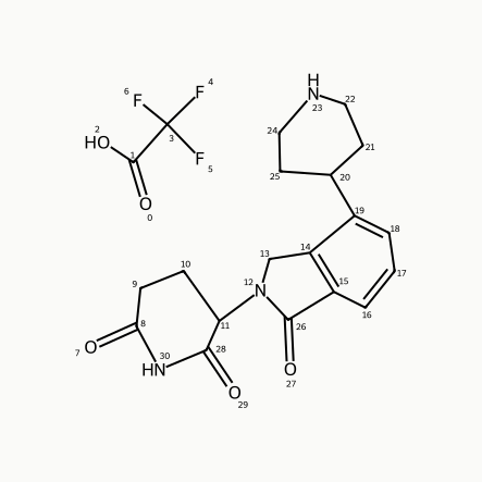 O=C(O)C(F)(F)F.O=C1CCC(N2Cc3c(cccc3C3CCNCC3)C2=O)C(=O)N1